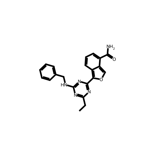 CCc1nc(NCc2ccccc2)nc(-c2occ3c(C(N)=O)cccc23)n1